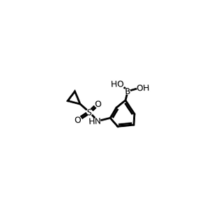 O=S(=O)(Nc1cccc(B(O)O)c1)C1CC1